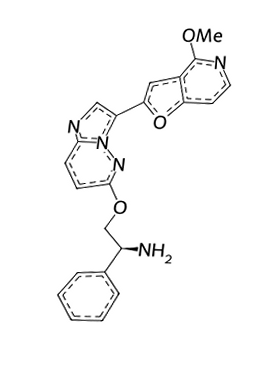 COc1nccc2oc(-c3cnc4ccc(OC[C@@H](N)c5ccccc5)nn34)cc12